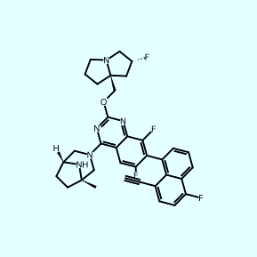 C#Cc1ccc(F)c2cccc(-c3c(F)cc4c(N5C[C@H]6CC[C@@](C)(C5)N6)nc(OC[C@@]56CCCN5C[C@H](F)C6)nc4c3F)c12